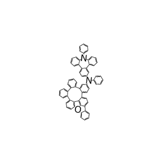 c1ccc(N(c2ccc3c(c2)-c2ccccc2N(c2ccccc2)c2ccccc2-3)c2ccc3c(c2)c2ccccc2c2ccccc2c2ccccc2c2c3ccc3c4ccccc4oc32)cc1